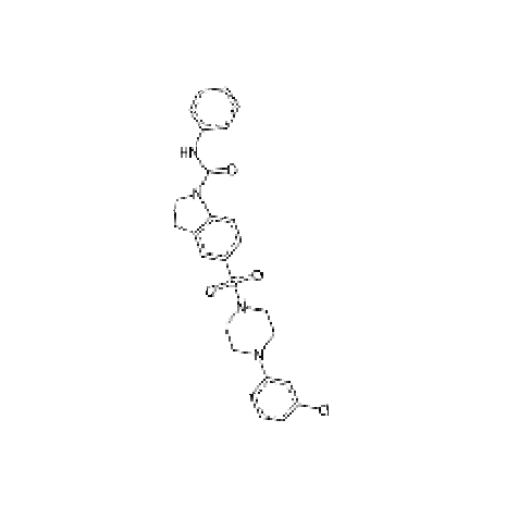 O=C(Nc1ccccc1)N1CCc2cc(S(=O)(=O)N3CCN(c4cccc(Cl)c4)CC3)ccc21